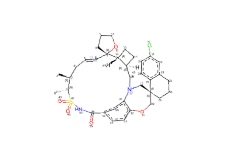 C[C@@H]1[C@@H](C)C/C=C/[C@@]2(CCCO2)[C@@H]2CC[C@H]2CN2C[C@@]3(CCCc4cc(Cl)ccc43)COc3ccc(cc32)C(=O)NS1(=O)=O